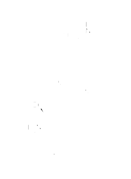 CC[C@H](N)[C@]1(C2CCOCC2)CC[C@@H](Oc2cc3cc[nH]c(=O)c3cc2Cl)CC1